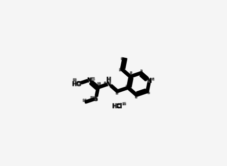 C=Cc1cnccc1CNC(=NO)SC.Cl